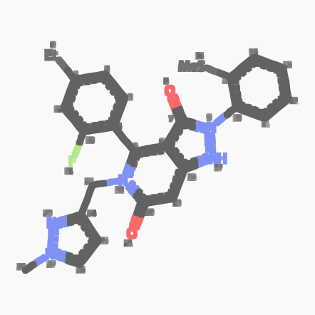 CCc1ccc(-c2c3c(=O)n(-c4ccccc4SC)[nH]c3cc(=O)n2Cc2ccn(C)n2)c(F)c1